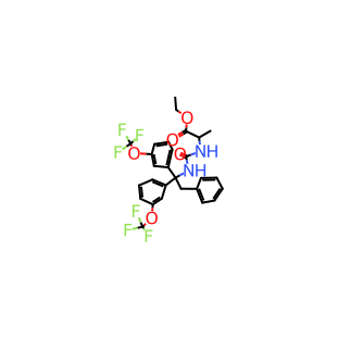 CCOC(=O)C(C)NC(=O)NC(Cc1ccccc1)(c1cccc(OC(F)(F)F)c1)c1cccc(OC(F)(F)F)c1